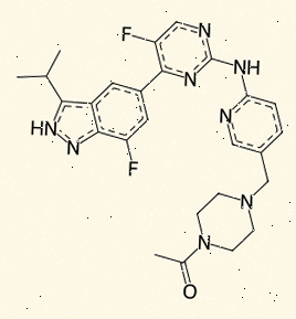 CC(=O)N1CCN(Cc2ccc(Nc3ncc(F)c(-c4cc(F)c5n[nH]c(C(C)C)c5c4)n3)nc2)CC1